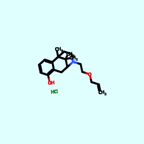 C=CCOCCN1CCC2(C)c3cccc(O)c3CC1C2(C)C.Cl